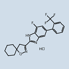 Cl.Fc1cc(-c2ccccc2C(F)(F)F)cc2nc(C3=NOC4(CCCCC4)C3)[nH]c12